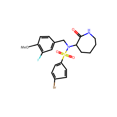 COc1ccc(CN(C2CCCCNC2=O)S(=O)(=O)c2ccc(Br)cc2)cc1F